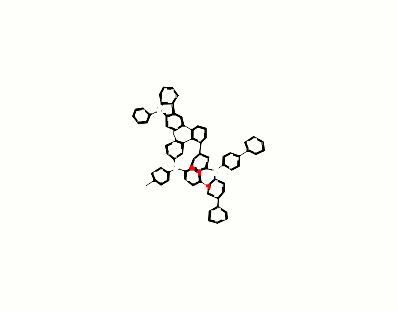 Cc1ccc(N(c2ccc(C)cc2)c2ccc(C)c(-c3c(-c4cccc(N(c5ccc(-c6ccccc6)cc5)c5ccc(-c6ccccc6)cc5)c4)cccc3-c3ccc4c(c3)c3ccccc3n4-c3ccccc3)c2)cc1